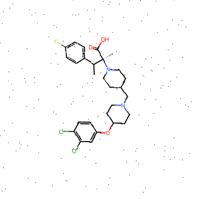 CC(c1ccc(F)cc1)[C@@](C)(C(=O)O)N1CCC(CN2CCC(Oc3ccc(Cl)c(Cl)c3)CC2)CC1